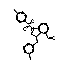 Cc1ccc(S(=O)(=O)N2CC(Cc3cccc(C)c3)c3c(C=O)cccc32)cc1